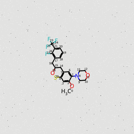 COc1cc2c(cc1N1CCOCC1)CC(Cc1cccc(C(F)(F)F)c1F)OS2